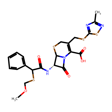 COCSC(C(=O)N[C@H]1C(=O)N2C(C(=O)O)=C(CSc3nc(C)ns3)CSC12)c1ccccc1